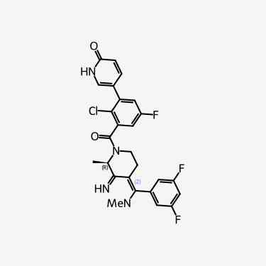 CN/C(=C1/CCN(C(=O)c2cc(F)cc(-c3ccc(=O)[nH]c3)c2Cl)[C@H](C)C1=N)c1cc(F)cc(F)c1